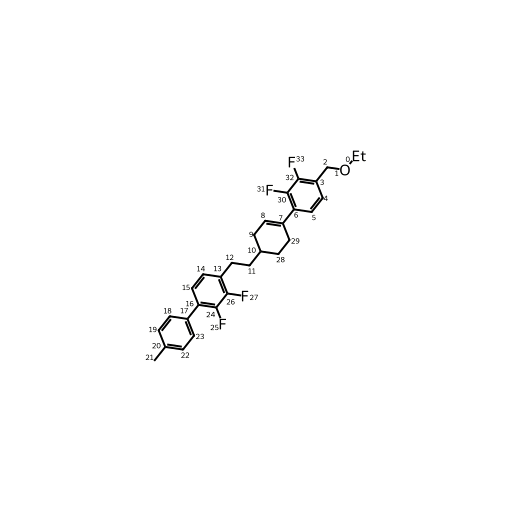 CCOCc1ccc(C2=CCC(CCc3ccc(-c4ccc(C)cc4)c(F)c3F)CC2)c(F)c1F